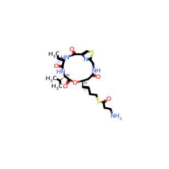 C/C=C1\NC(=O)c2csc(n2)CNC(=O)C[C@@H](/C=C/CCSC(=O)CCN)OC(=O)[C@H](C(C)C)NC1=O